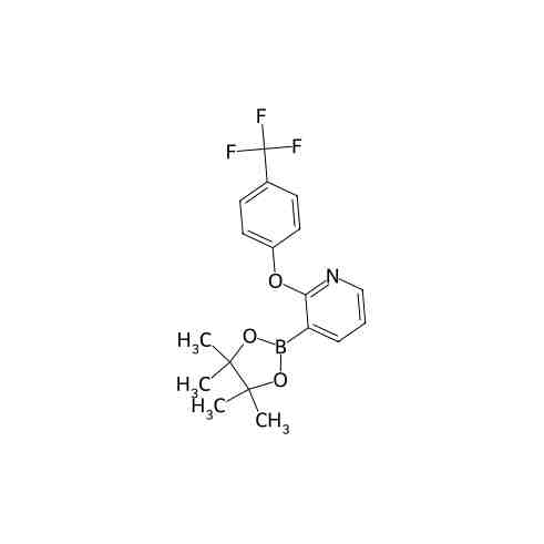 CC1(C)OB(c2cccnc2Oc2ccc(C(F)(F)F)cc2)OC1(C)C